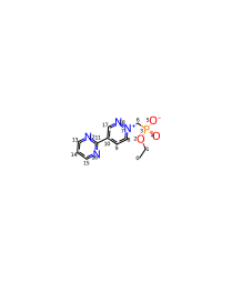 CCOP(=O)([O-])C[n+]1ccc(-c2ncccn2)cn1